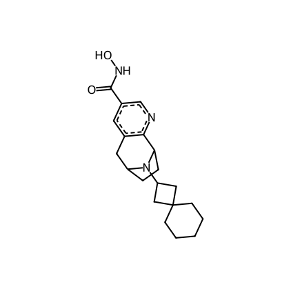 O=C(NO)c1cnc2c(c1)CC1CCC2N1C1CC2(CCCCC2)C1